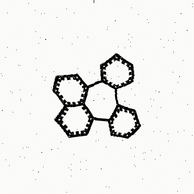 c1ccc2c(c1)-c1ccccc1-c1cccc3cccc-2c13